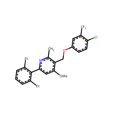 CCc1cccc(CC)c1-c1cc(OC)c(COc2ccc(Cl)c(C(F)(F)F)c2)c(C)n1